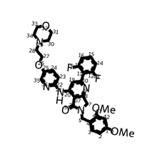 COc1ccc(CN2Cc3nc(-c4c(F)cccc4F)cc(Nc4ccc(OCCN5CCOCC5)cn4)c3C2=O)c(OC)c1